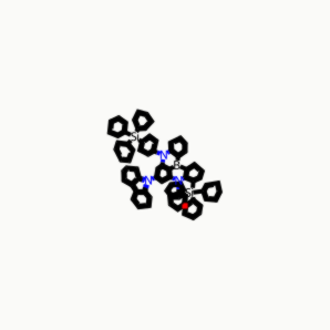 c1ccc(N2c3cc(-n4c5ccccc5c5ccccc54)cc4c3B(c3ccccc3N4c3ccc([Si](c4ccccc4)(c4ccccc4)c4ccccc4)cc3)c3cccc([Si](c4ccccc4)(c4ccccc4)c4ccccc4)c32)cc1